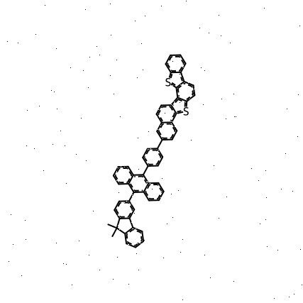 CC1(C)c2ccccc2-c2cc(-c3c4ccccc4c(-c4ccc(-c5ccc6c(ccc7c6sc6ccc8c9ccccc9sc8c67)c5)cc4)c4ccccc34)ccc21